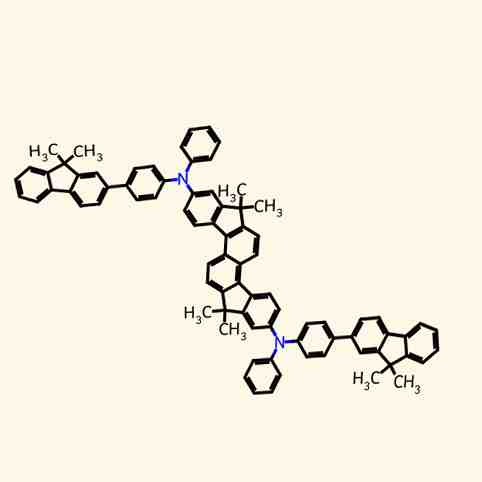 CC1(C)c2ccccc2-c2ccc(-c3ccc(N(c4ccccc4)c4ccc5c(c4)C(C)(C)c4ccc6c7c(ccc6c4-5)C(C)(C)c4cc(N(c5ccccc5)c5ccc(-c6ccc8c(c6)C(C)(C)c6ccccc6-8)cc5)ccc4-7)cc3)cc21